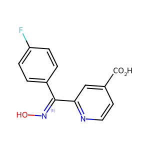 O=C(O)c1ccnc(/C(=N/O)c2ccc(F)cc2)c1